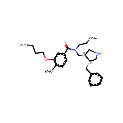 COCCCOc1cc(C(=O)N(CCOC)C[C@H]2CNC[C@@H]2Cc2ccccc2)ccc1OC